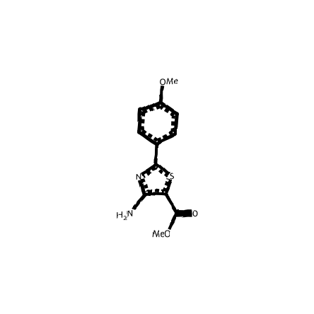 COC(=O)c1sc(-c2ccc(OC)cc2)nc1N